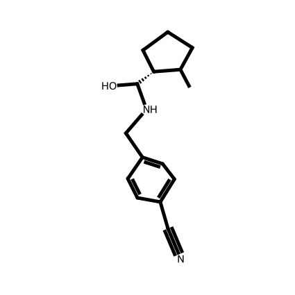 CC1CCC[C@H]1C(O)NCc1ccc(C#N)cc1